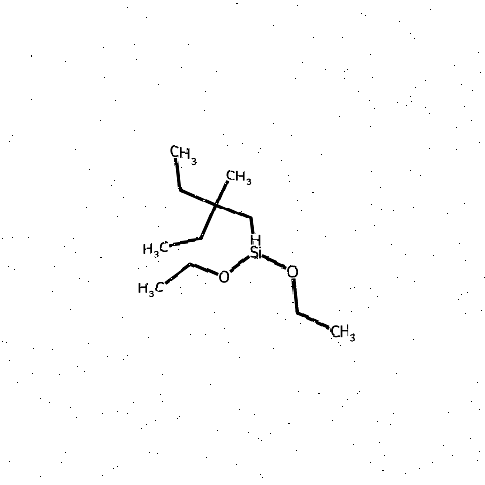 CCO[SiH](CC(C)(CC)CC)OCC